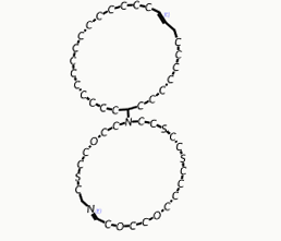 C1=C/CCCCCCCCC(N2CCOCCSCC/N=C/COCCOCCCCSCCSCC2)CCCCCCCCCCCCCCC/1